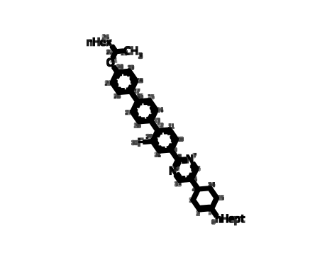 CCCCCCCC1=CCC(c2cnc(-c3ccc(-c4ccc(-c5ccc(OC(C)CCCCCC)cc5)cc4)c(F)c3)nc2)CC1